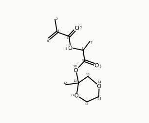 C=C(C)C(=O)OC(C)C(=O)OC1(C)COCCO1